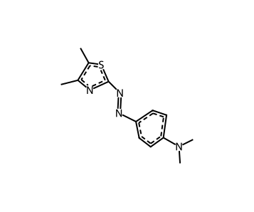 Cc1nc(/N=N/c2ccc(N(C)C)cc2)sc1C